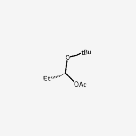 CC[C@@H](OC(C)=O)OC(C)(C)C